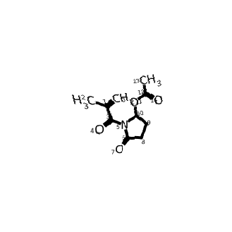 C=C(C)C(=O)N1C(=O)CCC1OC(C)=O